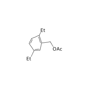 CCc1ccc(CC)c(COC(C)=O)c1